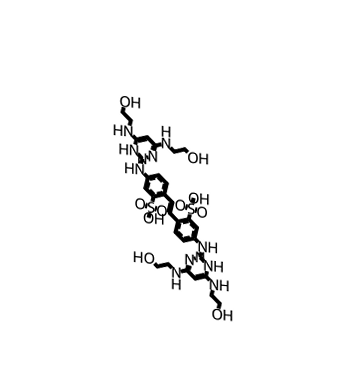 O=S(=O)(O)c1cc(NN2N=C(NCCO)C=C(NCCO)N2)ccc1C=Cc1ccc(NN2N=C(NCCO)C=C(NCCO)N2)cc1S(=O)(=O)O